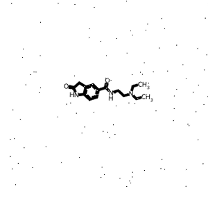 CCN(CC)CCNC(=O)c1ccc2c(c1)CC(=O)N2